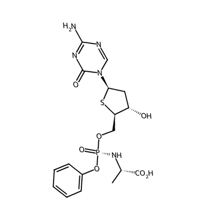 C[C@H](N[P@](=O)(OC[C@H]1S[C@@H](n2cnc(N)nc2=O)C[C@@H]1O)Oc1ccccc1)C(=O)O